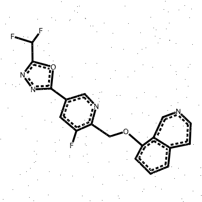 Fc1cc(-c2nnc(C(F)F)o2)cnc1COc1cccc2ccncc12